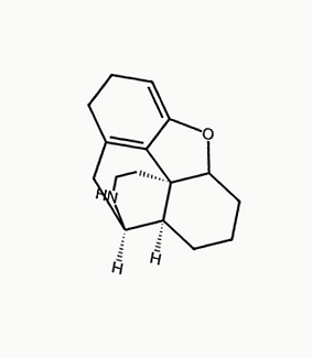 C1=C2OC3CCC[C@H]4[C@H]5CC(=C2[C@@]34CCN5)CC1